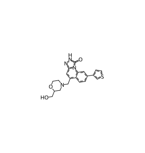 O=c1[nH]nc2cc(CN3CCOC(CO)C3)c3ccc(-c4ccsc4)cc3n12